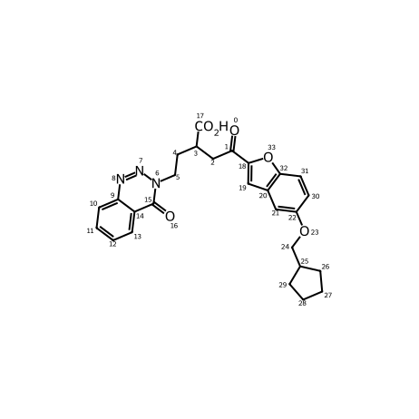 O=C(CC(CCn1nnc2ccccc2c1=O)C(=O)O)c1cc2cc(OCC3CCCC3)ccc2o1